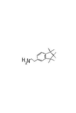 CC1(C)c2ccc(CCN)cc2C(C)(C)C1(C)C